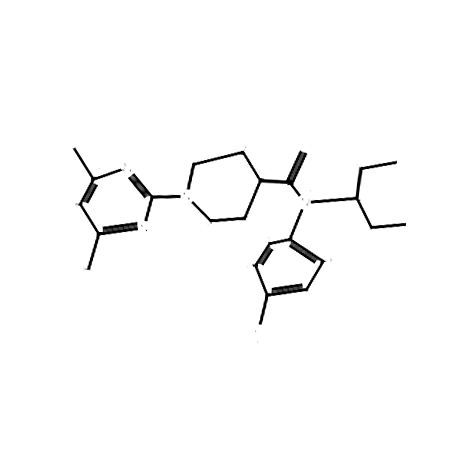 CCC(CC)N(C(=O)C1CCN(c2nc(C)cc(C)n2)CC1)c1ccc(Cl)cc1